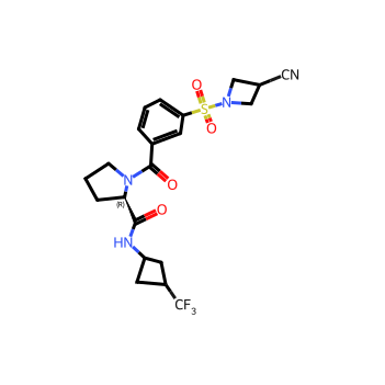 N#CC1CN(S(=O)(=O)c2cccc(C(=O)N3CCC[C@@H]3C(=O)NC3CC(C(F)(F)F)C3)c2)C1